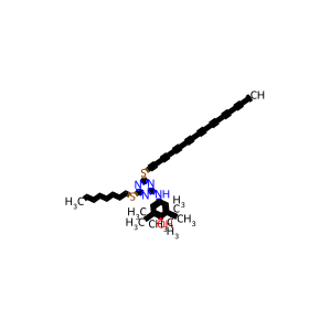 C#CC#CC#CC#CC#CC#CC#CC#CC#CSc1nc(Nc2cc(C(C)(C)C)c(O)c(C(C)(C)C)c2)nc(SCCCCCCCC)n1